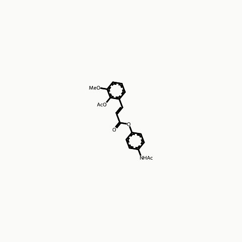 COc1cccc(C=CC(=O)Oc2ccc(NC(C)=O)cc2)c1OC(C)=O